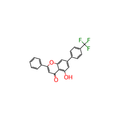 O=c1cc(-c2ccccc2)oc2cc(-c3ccc(C(F)(F)F)cc3)cc(O)c12